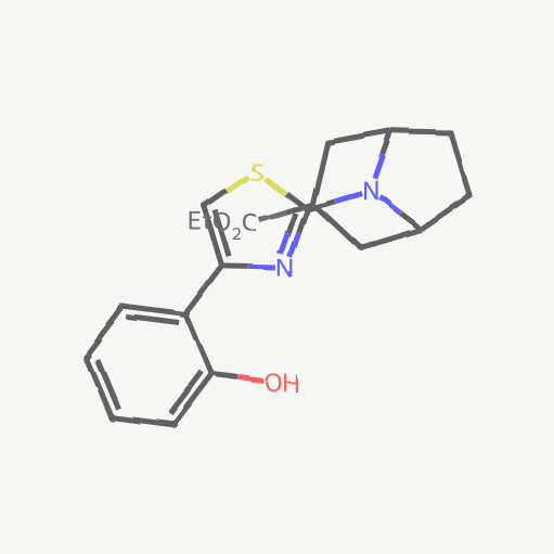 CCOC(=O)C1CC2CCC(C1)N2c1nc(-c2ccccc2O)cs1